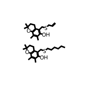 C=CCSCc1c(O)c(C)c(C)c2c1CCC(C)(C)O2.CCCCCCSCc1c(O)c(C)c(C)c2c1CCC(C)(C)O2